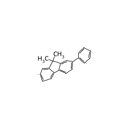 CC1(C)c2c[c]ccc2-c2ccc(-c3ccccc3)cc21